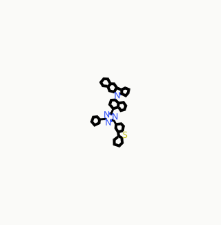 c1ccc(-c2nc(-c3ccc4sc5ccccc5c4c3)nc(-c3ccc(-n4c5ccccc5c5cc6ccccc6cc54)c4ccccc34)n2)cc1